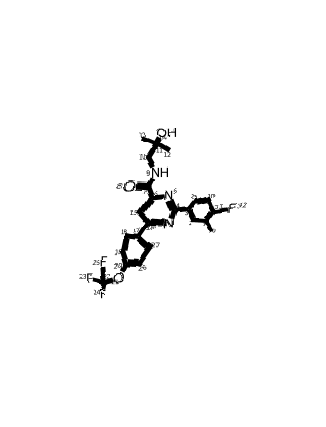 Cc1cc(-c2nc(C(=O)NCC(C)(C)O)cc(-c3ccc(OC(F)(F)F)cc3)n2)ccc1F